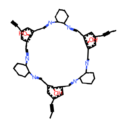 C#Cc1cc2c(O)c(c1)/C=N/C1CCCCC1/N=C/c1cc(C#CC)cc(c1O)/C=N/C1CCCCC1/N=C/c1cc(C#CC)cc(c1O)/C=N/C1CCCCC1/N=C/2